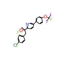 Fc1cc(Cl)ccc1CC1(c2ccc(-c3ccc(OC(F)(I)I)cc3)cn2)CO1